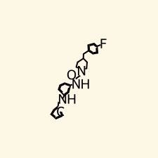 O=C(CN1CCC(Cc2ccc(F)cc2)CC1)Nc1cccc(NCc2ccccc2)c1